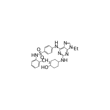 CCn1cnc2c(Nc3ccc(S(=O)(=O)Nc4ccccc4C)cc3)nc(NC3CCC(O)CC3)nc21